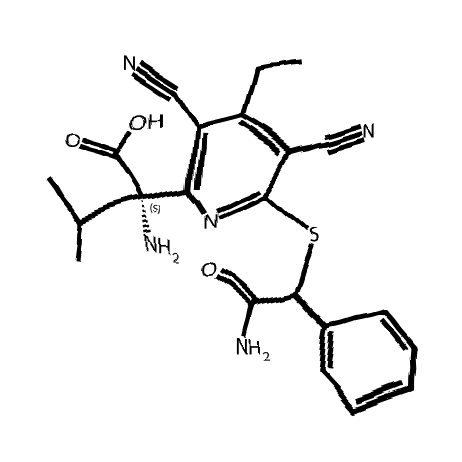 CCc1c(C#N)c(SC(C(N)=O)c2ccccc2)nc([C@](N)(C(=O)O)C(C)C)c1C#N